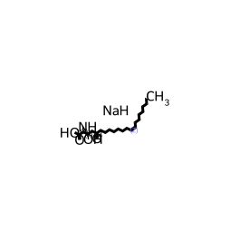 CCCCCCCC/C=C\CCCCCCCC(=O)C[C@@H](O)[C@H](N)C(=O)O.[NaH]